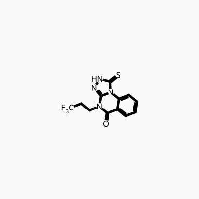 O=c1c2ccccc2n2c(=S)[nH]nc2n1CCC(F)(F)F